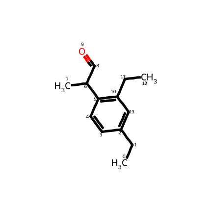 CCc1ccc(C(C)C=O)c(CC)c1